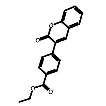 CCOC(=O)c1ccc(-c2cc3ccccc3oc2=O)cc1